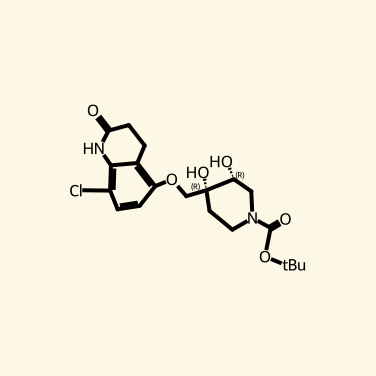 CC(C)(C)OC(=O)N1CC[C@@](O)(COc2ccc(Cl)c3c2CCC(=O)N3)[C@H](O)C1